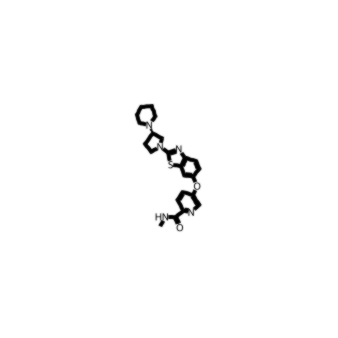 CNC(=O)c1ccc(Oc2ccc3nc(N4CC[C@@H](N5CCCCC5)C4)sc3c2)cn1